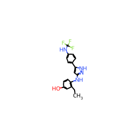 CCc1cc(O)ccc1Nc1cc(-c2ccc(NC(F)(F)F)cc2)[nH]n1